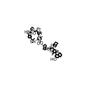 CCc1cccc2cc(O)cc(-c3ncc4c(N5CC6CCC(C5)N6)nc(OC[C@]56CCCN5[C@H](COC(=O)N5C[C@H](C)N(c7cc([C@H](C(=O)N8CCC[C@H]8C(=O)N[C@@H](C)c8ccc(-c9scnc9C)cc8)C(C)C)on7)C[C@H]5C)CC6)nc4c3F)c12